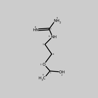 CC(O)OCCNC(=N)N